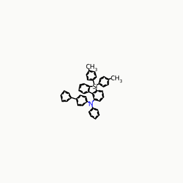 Cc1ccc([Si]2(c3ccc(C)cc3)c3ccccc3-c3c(N(c4ccccc4)c4ccc(-c5ccccc5)cc4)cccc32)cc1